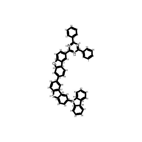 c1ccc(-c2nc(-c3ccccc3)nc(-c3ccc4oc5cc(-c6ccc7sc8ccc(-n9c%10ccccc%10c%10ccccc%109)cc8c7c6)ccc5c4c3)n2)cc1